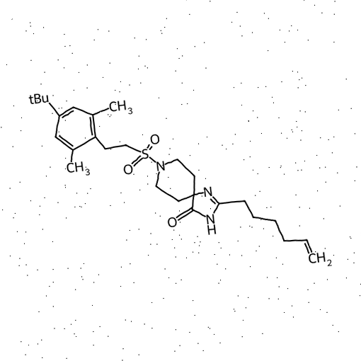 C=CCCCCC1=NC2(CCN(S(=O)(=O)CCc3c(C)cc(C(C)(C)C)cc3C)CC2)C(=O)N1